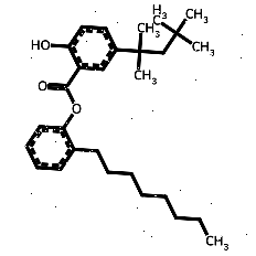 CCCCCCCCc1ccccc1OC(=O)c1cc(C(C)(C)CC(C)(C)C)ccc1O